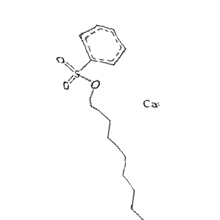 CCCCCCCCCCCCCCCCCOS(=O)(=O)c1ccccc1.[Ca]